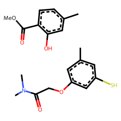 COC(=O)c1ccc(C)cc1O.Cc1cc(S)cc(OCC(=O)N(C)C)c1